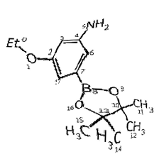 CCOc1cc(N)cc(B2OC(C)(C)C(C)(C)O2)c1